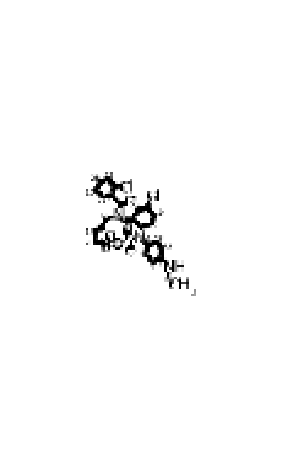 CCNc1ccc(N(c2ccc(Cl)cc2CN(Cc2ccco2)C(=O)c2ccccc2Cl)S(=O)(=O)O)cc1